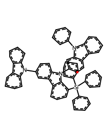 c1ccc(-n2c3ccccc3c3ccc(-n4c5ccc(-n6c7ccccc7c7ccccc76)cc5c5cccc([Si](c6ccccc6)(c6ccccc6)c6ccccc6)c54)cc32)cc1